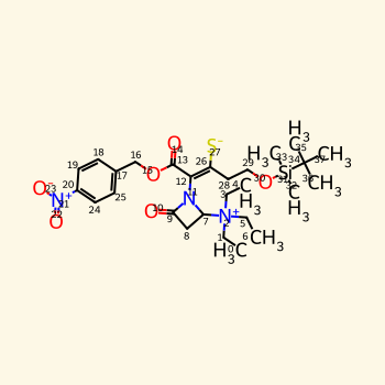 CC[N+](CC)(CC)C1CC(=O)N1C(C(=O)OCc1ccc([N+](=O)[O-])cc1)=C([S-])CCO[Si](C)(C)C(C)(C)C